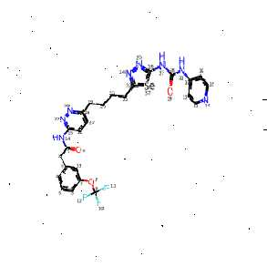 O=C(Cc1cccc(OC(F)(F)F)c1)Nc1ccc(CCCCc2nnc(NC(=O)Nc3ccncc3)[se]2)nn1